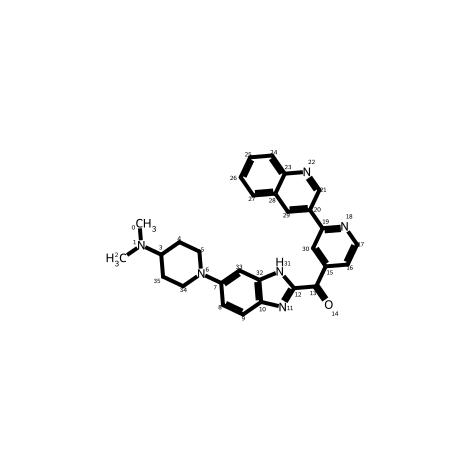 CN(C)C1CCN(c2ccc3nc(C(=O)c4ccnc(-c5cnc6ccccc6c5)c4)[nH]c3c2)CC1